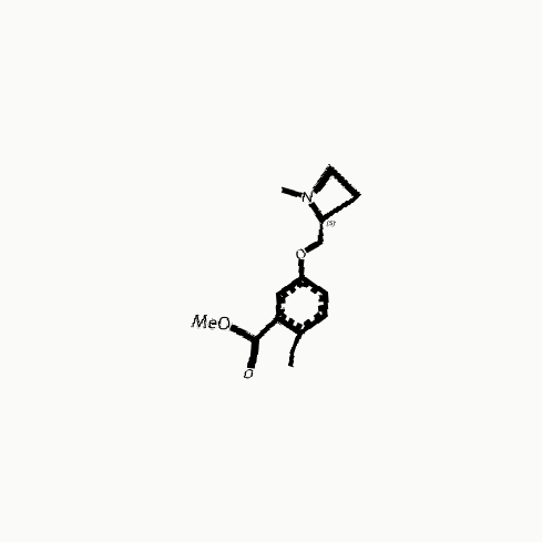 COC(=O)c1cc(OC[C@@H]2CCN2C)ccc1C